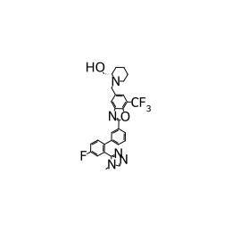 Cn1cnnc1-c1cc(F)ccc1-c1cccc(-c2nc3cc(CN4CCCC[C@H]4CO)cc(C(F)(F)F)c3o2)c1